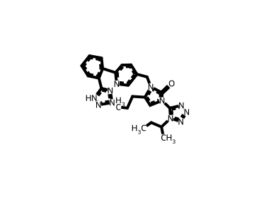 CCCc1cn(-c2nnnn2C(C)CC)c(=O)n1Cc1ccc(-c2ccccc2-c2nnn[nH]2)nc1